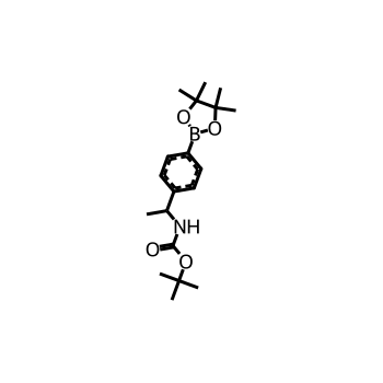 CC(NC(=O)OC(C)(C)C)c1ccc(B2OC(C)(C)C(C)(C)O2)cc1